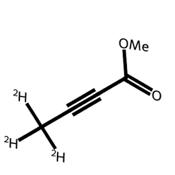 [2H]C([2H])([2H])C#CC(=O)OC